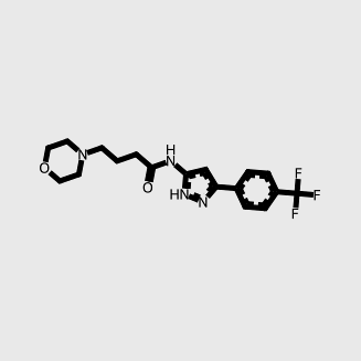 O=C(CCCN1CCOCC1)Nc1cc(-c2ccc(C(F)(F)F)cc2)n[nH]1